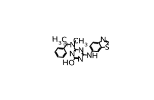 C[C@@H](c1ccccc1)N(C)c1nc(O)nc(Nc2ccc3ncsc3c2)n1